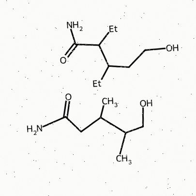 CC(CO)C(C)CC(N)=O.CCC(CCO)C(CC)C(N)=O